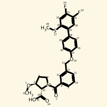 CO[C@H]1CCN(C(=O)c2cccc(COc3ccc(-c4cc(F)c(F)cc4SC)cc3)c2)[C@@H]1C(=O)O